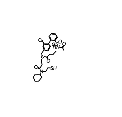 CCCC(=O)N(CCC(=O)N(CCS)C1CCCCC1)Cc1ccc(-c2ccccc2S(=O)(=O)NC(C)=O)c(Cl)c1